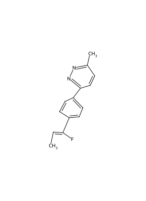 C/C=C(\F)c1ccc(-c2ccc(C)nn2)cc1